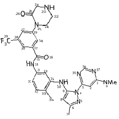 CNc1cc(-n2nc(C)cc2Nc2cc(NC(=O)c3cc(N4CCNCC4=O)cc(C(F)(F)F)c3)ccc2C)ncn1